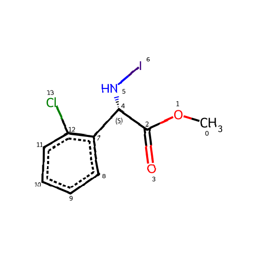 COC(=O)[C@@H](NI)c1ccccc1Cl